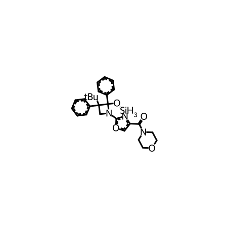 CC(C)(C)C1(c2ccccc2)CN(c2nc(C(=O)N3CCOCC3)co2)C1(O[SiH3])c1ccccc1